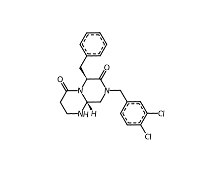 O=C1[C@H](Cc2ccccc2)N2C(=O)CCN[C@H]2CN1Cc1ccc(Cl)c(Cl)c1